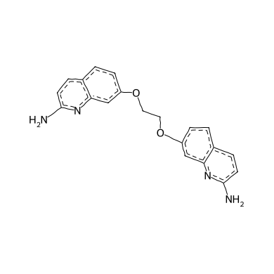 Nc1ccc2ccc(OCCOc3ccc4ccc(N)nc4c3)cc2n1